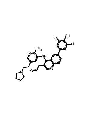 Cc1ncc(CCN2CCCC2)cc1Nc1c(CC=O)cnc2ccc(-c3cc(Cl)c(O)c(Cl)c3)cc12